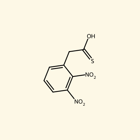 O=[N+]([O-])c1cccc(CC(O)=S)c1[N+](=O)[O-]